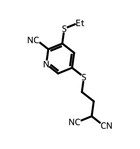 CCSc1cc(SCCC(C#N)C#N)cnc1C#N